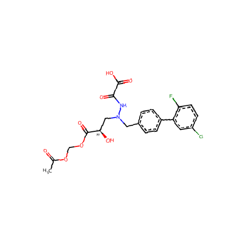 CC(=O)OCOC(=O)[C@H](O)CN(Cc1ccc(-c2cc(Cl)ccc2F)cc1)NC(=O)C(=O)O